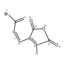 C=C(Br)/C=C\C1=C(C)C(=O)OC1=O